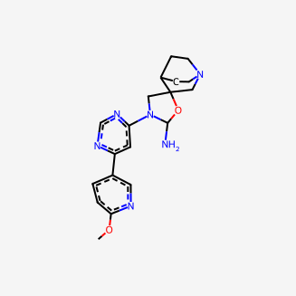 COc1ccc(-c2cc(N3CC4(CN5CCC4CC5)OC3N)ncn2)cn1